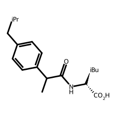 CC[C@H](C)[C@@H](NC(=O)C(C)c1ccc(CC(C)C)cc1)C(=O)O